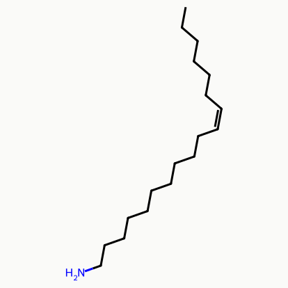 CCCCCC/C=C\CCCCCCCCCCN